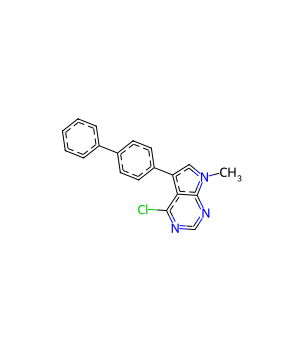 Cn1cc(-c2ccc(-c3ccccc3)cc2)c2c(Cl)ncnc21